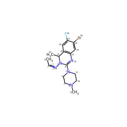 C/C=N\N1C(N2CCN(C)CC2)=Nc2cc(Br)c(F)cc2C1C